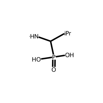 CC(C)C([NH])P(=O)(O)O